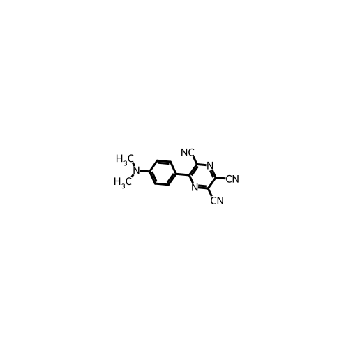 CN(C)c1ccc(-c2nc(C#N)c(C#N)nc2C#N)cc1